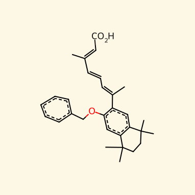 CC(C=CC=C(C)c1cc2c(cc1OCc1ccccc1)C(C)(C)CCC2(C)C)=CC(=O)O